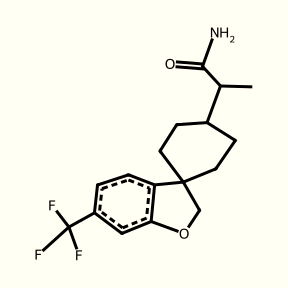 CC(C(N)=O)C1CCC2(CC1)COc1cc(C(F)(F)F)ccc12